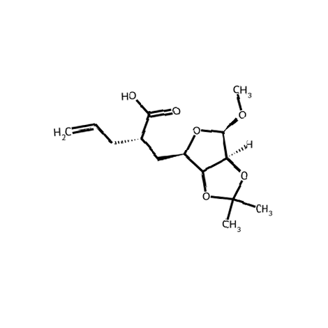 C=CC[C@@H](C[C@H]1O[C@@H](OC)[C@H]2OC(C)(C)OC12)C(=O)O